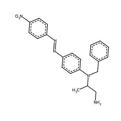 CC(CN)N(Cc1ccccc1)c1ccc(N=Nc2ccc([N+](=O)[O-])cc2)cc1